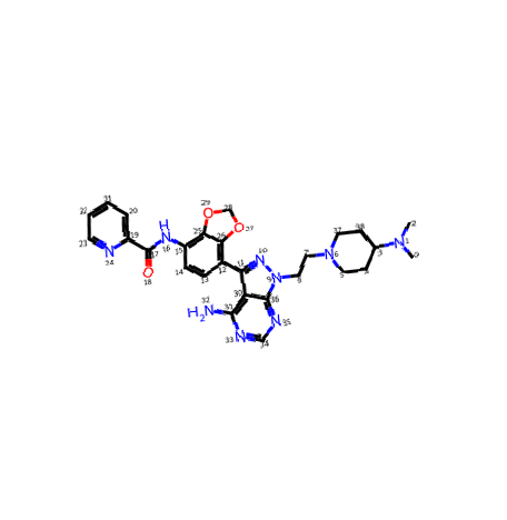 CN(C)C1CCN(CCn2nc(-c3ccc(NC(=O)c4ccccn4)c4c3OCO4)c3c(N)ncnc32)CC1